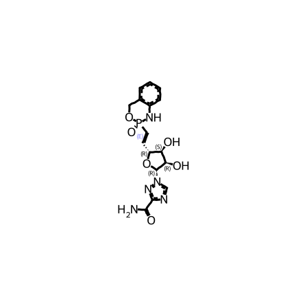 NC(=O)c1ncn([C@@H]2O[C@H](/C=C/P3(=O)Nc4ccccc4CO3)[C@@H](O)[C@H]2O)n1